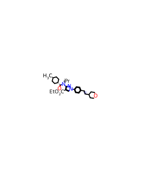 CCOC(=O)c1cn(-c2ccc(/C=C/C3CCOCC3)cc2)nc1N(C(=O)[C@H]1CC[C@H](C)CC1)C(C)C